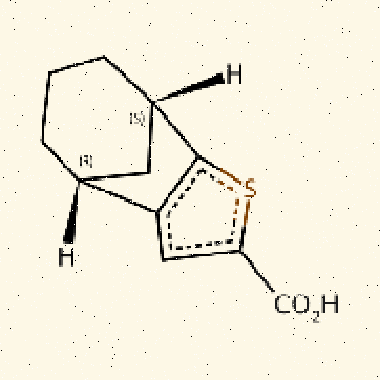 O=C(O)c1cc2c(s1)[C@H]1CCC[C@@H]2C1